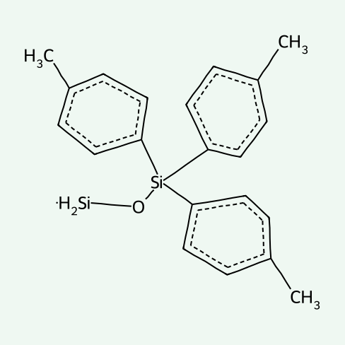 Cc1ccc([Si](O[SiH2])(c2ccc(C)cc2)c2ccc(C)cc2)cc1